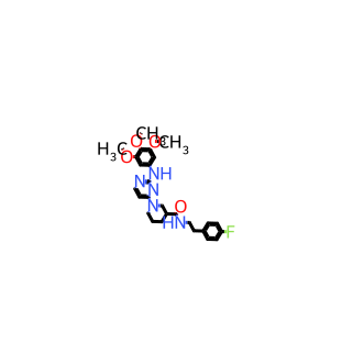 COc1cc(Nc2nccc(N3CCCC(C(=O)NCCc4ccc(F)cc4)C3)n2)cc(OC)c1OC